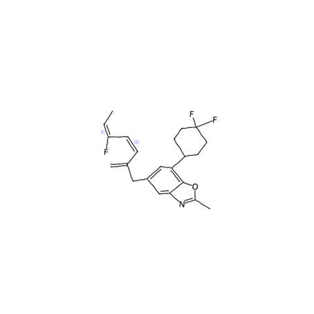 C=C(/C=C\C(F)=C/C)Cc1cc(C2CCC(F)(F)CC2)c2oc(C)nc2c1